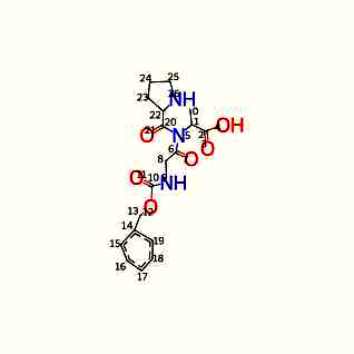 CC(C(=O)O)N(C(=O)CNC(=O)OCc1ccccc1)C(=O)C1CCCN1